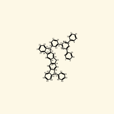 c1ccc(-c2cc(-c3ccccc3)nc(-c3cccc(-n4c5ccccc5c5cc6c(cc54)Cc4cc5c(cc4-6)c4ccccc4n5-c4ccccc4)c3)n2)cc1